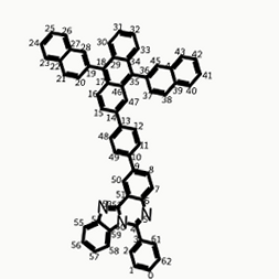 c1ccc(-c2nc3ccc(-c4ccc(-c5ccc6c(-c7ccc8ccccc8c7)c7ccccc7c(-c7ccc8ccccc8c7)c6c5)cc4)cc3c3nc4ccccc4n23)cc1